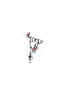 CC[C@@]1(O)C(=O)OCc2c1cc1n(c2=O)Cc2c-1nc1cc(F)c(C)c3c1c2[C@@H](NC(=O)OCc1ccc(O[C@@H]2O[C@H](C(=O)O)[C@@H](O)[C@H](O)[C@H]2O)c(CNC(=O)CCNC(=O)[C@H](CCCC(=O)N[C@H]2CO[C@H]4[C@@H]2OC[C@@H]4NC(=O)OC(C)(C)C)NC(=O)CCN2C(=O)C=CC2=O)c1)CC3